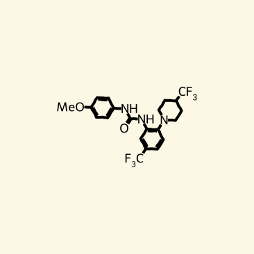 COc1ccc(NC(=O)Nc2cc(C(F)(F)F)ccc2N2CCC(C(F)(F)F)CC2)cc1